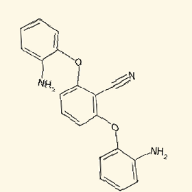 N#Cc1c(Oc2ccccc2N)cccc1Oc1ccccc1N